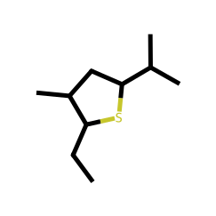 CCC1SC(C(C)C)CC1C